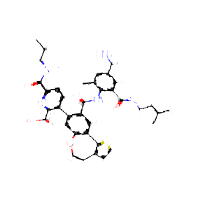 CCCNC(=O)c1ccc(-c2cc3c(cc2C(=O)Nc2c(C)cc(CN)cc2C(=O)NCCC(C)C)-c2sccc2CCO3)c(C(=O)O)n1